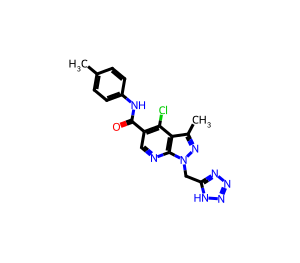 Cc1ccc(NC(=O)c2cnc3c(c(C)nn3Cc3nnn[nH]3)c2Cl)cc1